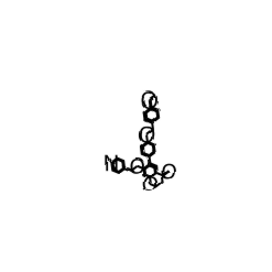 COc1ccc(COc2ccc(-c3cc4c(cc3OCc3ccncc3)OCCC4=O)cc2)cc1